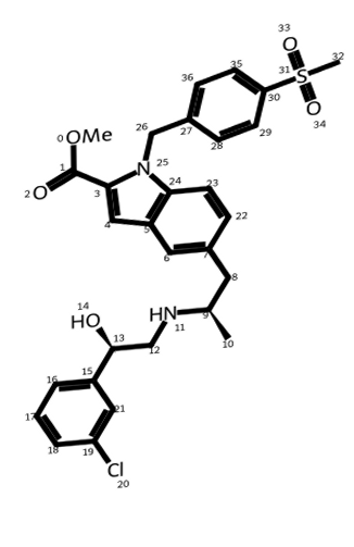 COC(=O)c1cc2cc(C[C@@H](C)NC[C@H](O)c3cccc(Cl)c3)ccc2n1Cc1ccc(S(C)(=O)=O)cc1